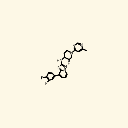 Cc1cc(N2CCC(Nc3nc4c(-c5ccc(F)c(F)c5)cccn4n3)C(F)C2)ncn1